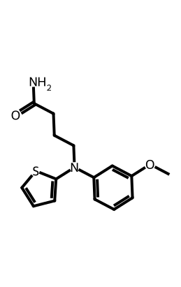 COc1cccc(N(CCCC(N)=O)c2cccs2)c1